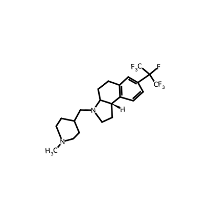 CN1CCC(CN2CC[C@H]3c4ccc(C(F)(C(F)(F)F)C(F)(F)F)cc4CCC32)CC1